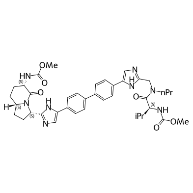 CCCN(Cc1ncc(-c2ccc(-c3ccc(-c4cnc([C@@H]5CC[C@@H]6CC[C@H](NC(=O)OC)C(=O)N65)[nH]4)cc3)cc2)[nH]1)C(=O)[C@@H](NC(=O)OC)C(C)C